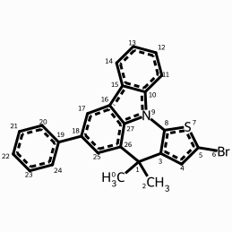 CC1(C)c2cc(Br)sc2-n2c3ccccc3c3cc(-c4ccccc4)cc1c32